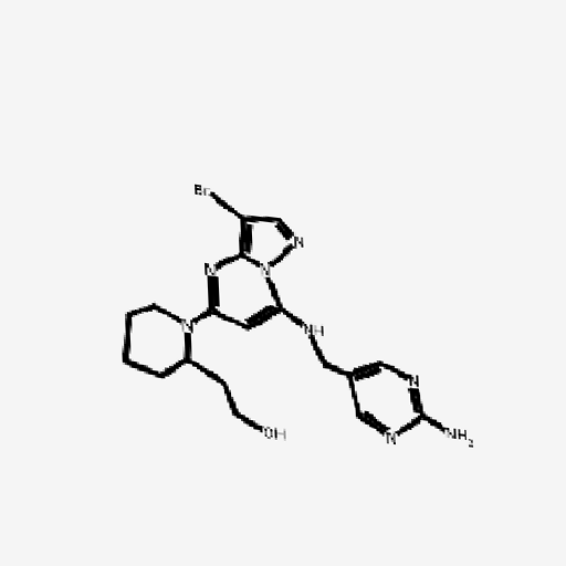 Nc1ncc(CNc2cc(N3CCCCC3CCO)nc3c(Br)cnn23)cn1